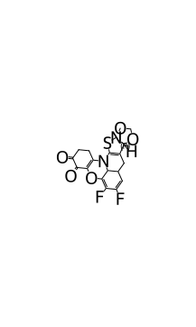 O=C1CCC2=C(OC3=C(F)C(F)=CC4CC5=C(SN6OCO[C@H]56)N2C34)C1=O